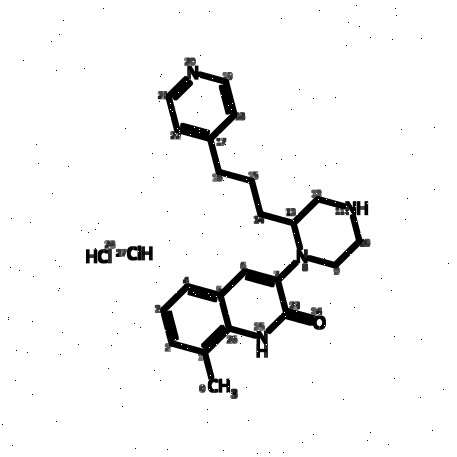 Cc1cccc2cc(N3CCNCC3CCCc3ccncc3)c(=O)[nH]c12.Cl.Cl